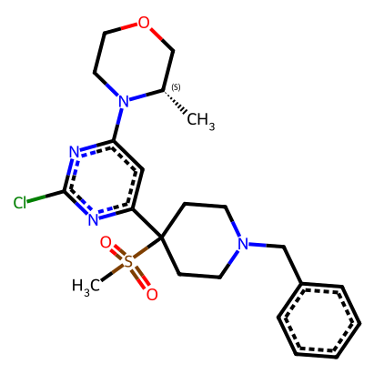 C[C@H]1COCCN1c1cc(C2(S(C)(=O)=O)CCN(Cc3ccccc3)CC2)nc(Cl)n1